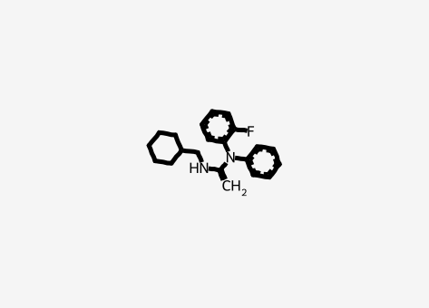 C=C(NCC1CCCCC1)N(c1ccccc1)c1ccccc1F